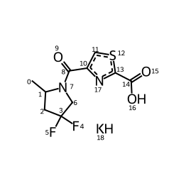 CC1CC(F)(F)CN1C(=O)c1csc(C(=O)O)n1.[KH]